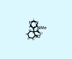 CNC(=S)C1(c2cncnc2)CCCCC1=O